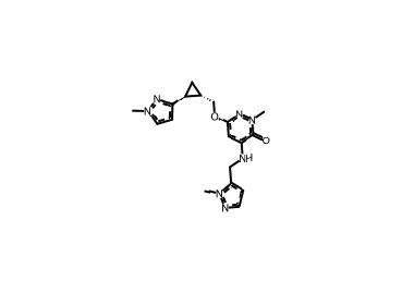 Cn1ccc([C@H]2C[C@@H]2COc2cc(NCc3ccnn3C)c(=O)n(C)n2)n1